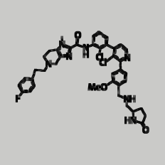 COc1cc(-c2nccc(-c3cccc(NC(=O)c4nc5c(n4C)CCN(CCc4ccc(F)cc4)C5)c3Cl)c2Cl)ccc1CNCC1CCC(=O)N1